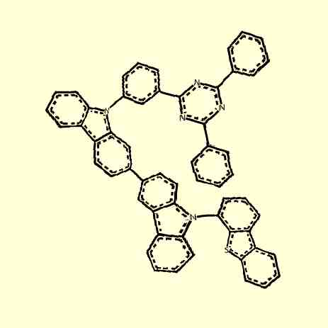 c1ccc(-c2nc(-c3ccccc3)nc(-c3cccc(-n4c5ccccc5c5ccc(-c6ccc7c(c6)c6ccccc6n7-c6cccc7c6sc6ccccc67)cc54)c3)n2)cc1